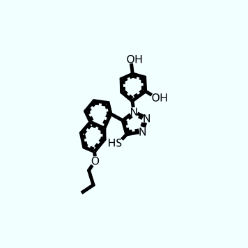 CCCOc1ccc2cccc(-c3c(S)nnn3-c3ccc(O)cc3O)c2c1